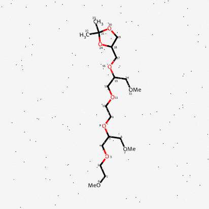 COCCOCC(COC)OCCOCC(COC)OCC1COC(C)(C)O1